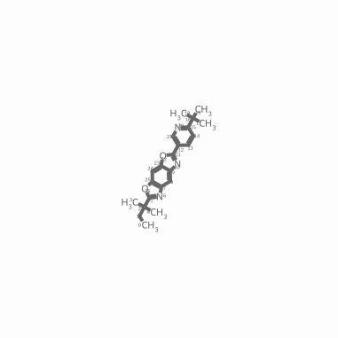 CCC(C)(C)c1nc2cc3nc(-c4ccc(C(C)(C)C)nc4)oc3cc2o1